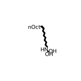 CCCCCCCC/C=C\CCCCCCCCNC(O)O